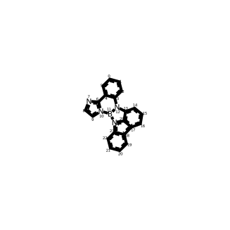 c1ccc2c(c1)-c1nccn1B1N2c2cccc3c4ccccc4n1c23